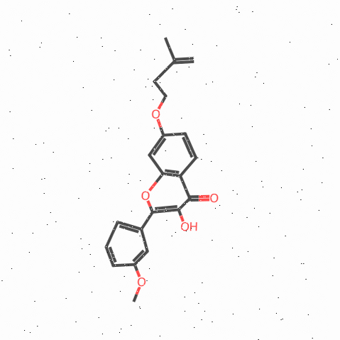 C=C(C)CCOc1ccc2c(=O)c(O)c(-c3cccc(OC)c3)oc2c1